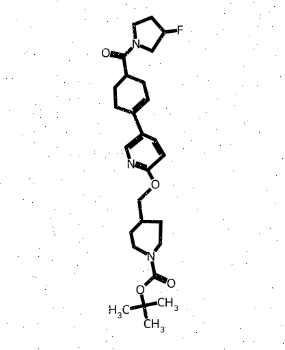 CC(C)(C)OC(=O)N1CCC(COc2ccc(C3=CCC(C(=O)N4CCC(F)C4)CC3)cn2)CC1